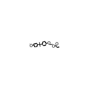 C=CC(=O)OCCOc1ccc(C(C)(C)c2ccc(OC)cc2)cc1